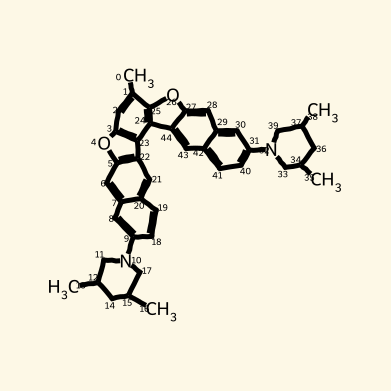 Cc1cc2oc3cc4cc(N5CC(C)CC(C)C5)ccc4cc3c2c2c1oc1cc3cc(N4CC(C)CC(C)C4)ccc3cc12